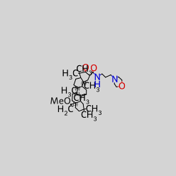 C=C(OC)[C@]12CCC(C)(C)CC1C1=CCC3[C@@]4(C)CC(C(=O)NCCCN5CCOCC5)C(=O)C(C)(C)C4CC[C@@]3(C)[C@]1(C)CC2